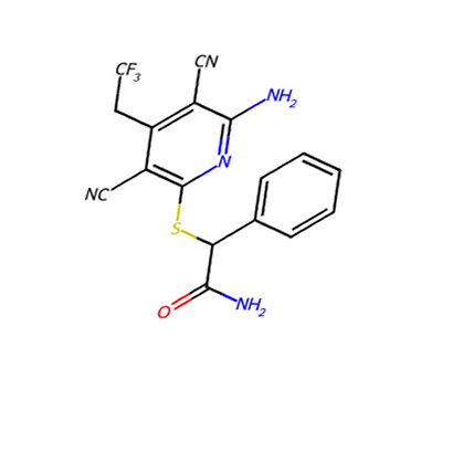 N#Cc1c(N)nc(SC(C(N)=O)c2ccccc2)c(C#N)c1CC(F)(F)F